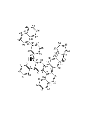 c1ccc(-c2cc(-c3cccc4ccccc34)c(-c3ccc4oc5ccccc5c4c3)cc2Nc2cccc(-c3cccc4ccccc34)c2)cc1